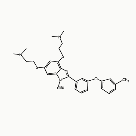 CCCCn1c(-c2cccc(Oc3cccc(C(F)(F)F)c3)c2)nc2c(SCCN(C)C)cc(SCCN(C)C)cc21